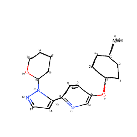 CN[C@H]1CC[C@@H](Oc2ccc(-c3ccnn3C3CCCCO3)nc2)CC1